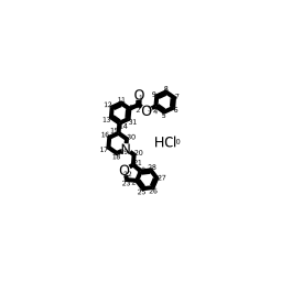 Cl.O=C(Oc1ccccc1)c1cccc(C2CCCN(CC3OCc4ccccc43)C2)c1